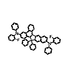 Fc1ccccc1N(c1ccccc1)c1ccc2cc3c(cc2c1)C(c1ccccc1)(c1ccccc1)c1c-3c2ccccc2c2cc(N(c3ccccc3)c3ccccc3F)ccc12